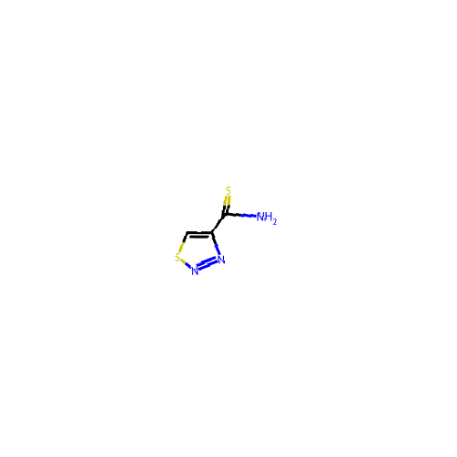 NC(=S)c1csnn1